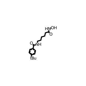 CC(C)(C)c1ccc(C(=O)NCCCCCC(=O)NO)cc1